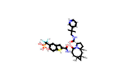 CC(C)(CNC(=O)[C@@H]1CC[C@@H]2C[C@@H]3C[C@@H]3C[C@H](NC(=O)c3cc4cc(C(F)(F)P(=O)(O)O)ccc4s3)C(=O)N21)c1cccnc1